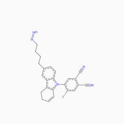 N#Cc1cc(F)c(-n2c3c(c4cc(CCCCN=N)ccc42)CCC=C3)cc1C#N